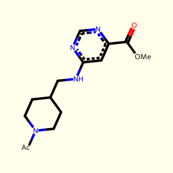 COC(=O)c1cc(NCC2CCN(C(C)=O)CC2)ncn1